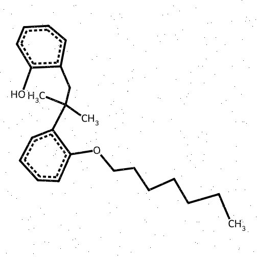 CCCCCCCOc1ccccc1C(C)(C)Cc1ccccc1O